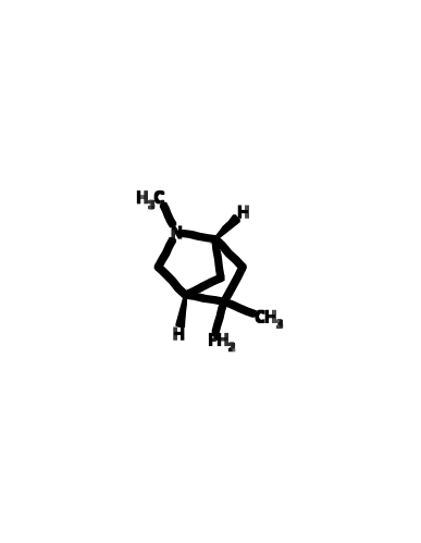 CN1C[C@@H]2C[C@H]1CC2(C)P